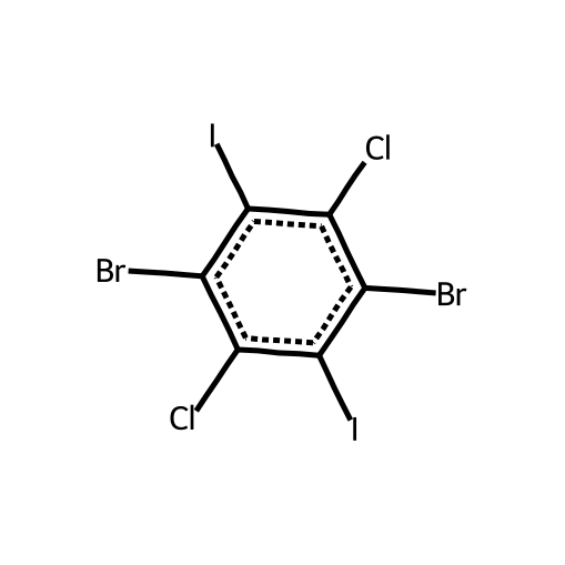 Clc1c(Br)c(I)c(Cl)c(Br)c1I